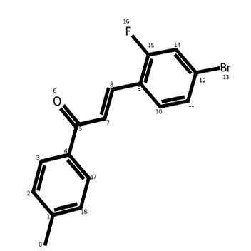 Cc1ccc(C(=O)/C=C/c2ccc(Br)cc2F)cc1